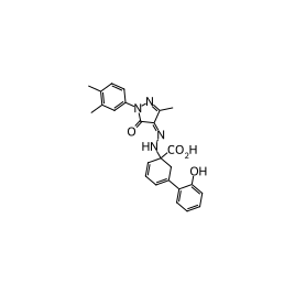 CC1=NN(c2ccc(C)c(C)c2)C(=O)C1=NNC1(C(=O)O)C=CC=C(c2ccccc2O)C1